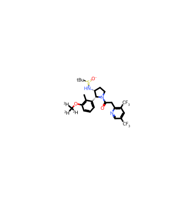 [2H]C([2H])([2H])Oc1cccc([C@@H]2[C@H](N[S@+]([O-])C(C)(C)C)CCN2C(=O)Cc2ncc(C(F)(F)F)cc2C(F)(F)F)c1C